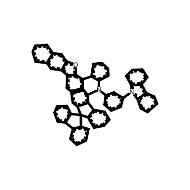 c1cc(N(c2ccccc2-c2cccc3c2oc2cc4ccccc4cc23)c2cccc3c2-c2ccccc2C32c3ccccc3-c3ccccc32)cc(-n2c3ccccc3c3ccccc32)c1